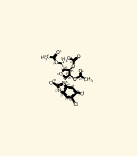 CC(=O)OC[C@H]1O[C@@H](n2c(Cl)nc3cc(Cl)c(Cl)cc32)[C@H](OC(C)=O)[C@@H]1OC(C)=O